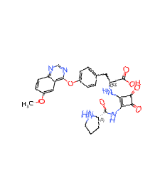 COc1ccc2ncnc(Oc3ccc(C[C@H](Nc4c(NC(=O)[C@@H]5CCCN5)c(=O)c4=O)C(=O)O)cc3)c2c1